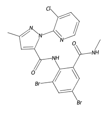 CNC(=O)c1cc(Br)cc(Br)c1NC(=O)c1cc(C)nn1-c1ncccc1Cl